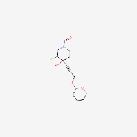 O=CN1CCC(O)(C#CCOC2CCCCO2)C(F)C1